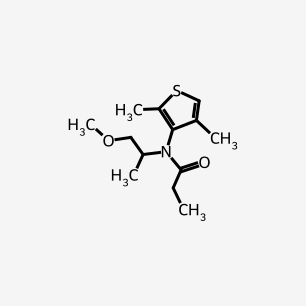 CCC(=O)N(c1c(C)csc1C)C(C)COC